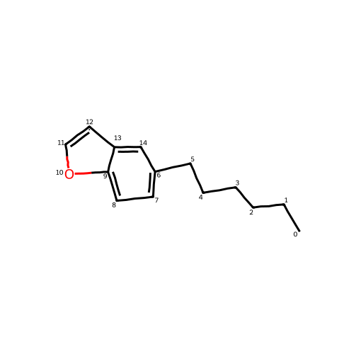 CCCCCCc1ccc2oc[c]c2c1